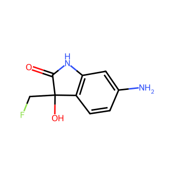 Nc1ccc2c(c1)NC(=O)C2(O)CF